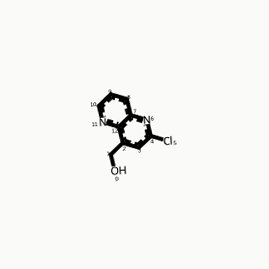 OCc1cc(Cl)nc2cccnc12